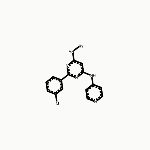 CC(C)Nc1cc(Nc2ccncc2)nc(-c2cccc(Cl)c2)n1